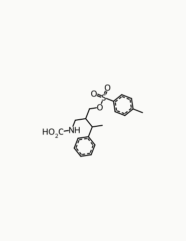 Cc1ccc(S(=O)(=O)OCC(CNC(=O)O)C(C)c2ccccc2)cc1